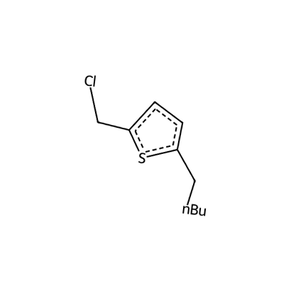 CCCCCc1ccc(CCl)s1